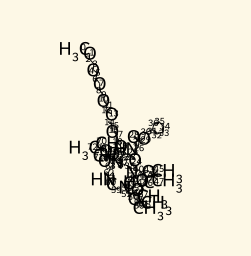 COCCOCCOCCOCCOCCOCCOC(=O)C(C(=O)NCC(=O)OCc1ccccc1)C1CN(CC(=O)OC(C)(C)C)CCN(CC(=O)OC(C)(C)C)CCNCCN1CC(=O)OC(C)(C)C